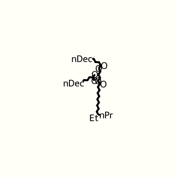 CCCCCCCCCCCCCC(=O)OCC(COC(=O)CCCCCCCCCC(CC)CCC)OC(=O)CCCCCCCCCCCCC